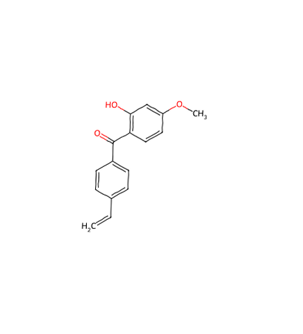 C=Cc1ccc(C(=O)c2ccc(OC)cc2O)cc1